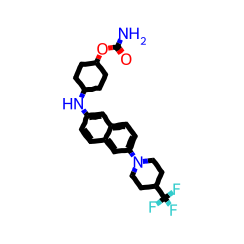 NC(=O)OC1CCC(Nc2ccc3cc(N4CCC(C(F)(F)F)CC4)ccc3c2)CC1